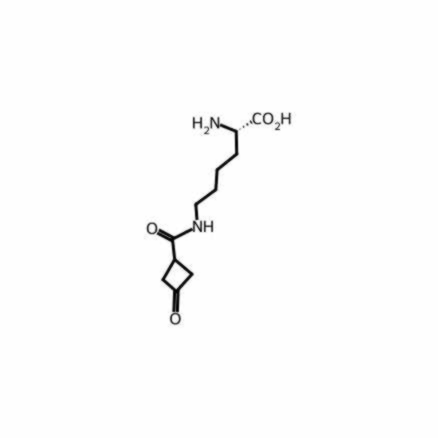 N[C@@H](CCCCNC(=O)C1CC(=O)C1)C(=O)O